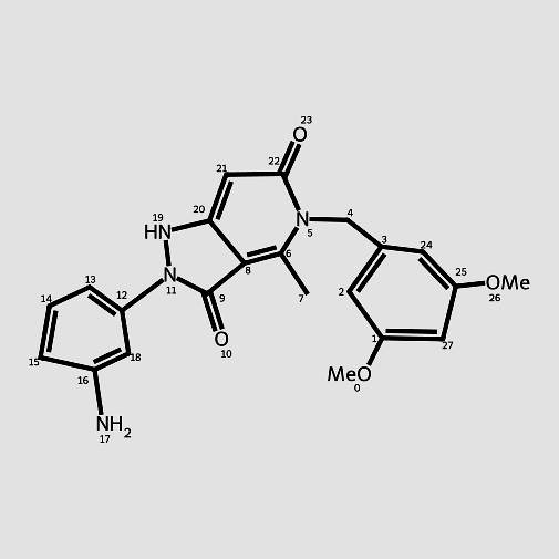 COc1cc(Cn2c(C)c3c(=O)n(-c4cccc(N)c4)[nH]c3cc2=O)cc(OC)c1